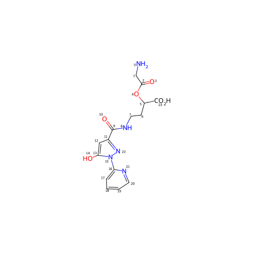 NCC(=O)OC(CCNC(=O)c1cc(O)n(-c2ccccn2)n1)C(=O)O